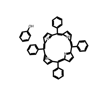 C1=Cc2nc1c(-c1ccccc1)c1ccc([nH]1)c(-c1ccccc1)c1nc(c(-c3ccccc3)c3ccc([nH]3)c2-c2ccccc2)C=C1.Oc1ccccc1